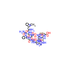 C[C@H](NC(=O)CNC(=O)[C@H](Cc1c[nH]c2ccccc12)NC(=O)[C@H](CC(=O)O)NC(=O)[C@H](CCC(N)=O)NC(=O)[C@@H](N)Cc1cn(C)c2ccccc12)C(=O)N[C@@H](Cc1c[nH]cn1)C(=O)N[C@@H](CCCNC(=N)N)C(=O)N[C@@H](CS)C(=O)O